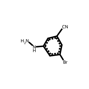 N#Cc1cc(Br)cc(NN)c1